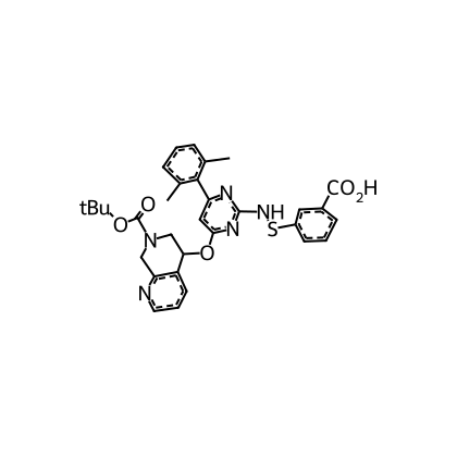 Cc1cccc(C)c1-c1cc(OC2CN(C(=O)OC(C)(C)C)Cc3ncccc32)nc(NSc2cccc(C(=O)O)c2)n1